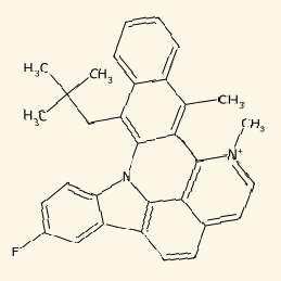 Cc1c2ccccc2c(CC(C)(C)C)c2c1c1c3c(ccc4c5cc(F)ccc5n2c43)cc[n+]1C